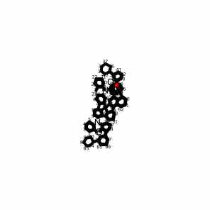 Cc1ccccc1N(c1ccc2c(c1)C1(c3cc(N(c4ccccc4C)c4cccc5c4oc4c(C6CCCCC6)cccc45)ccc3-2)c2ccccc2-c2c1cc1c3c(cccc23)-c2ccccc2-1)c1cccc2c1oc1c(C3CCCCC3)cccc12